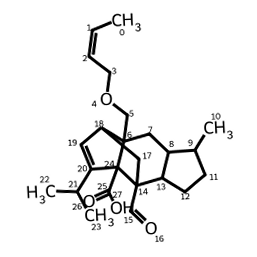 C/C=C\COCC12CC3C(C)CCC3C3(C=O)CC1C=C(C(C)C)C32C(=O)O